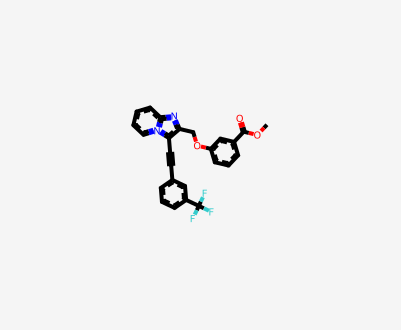 COC(=O)c1cccc(OCc2nc3ccccn3c2C#Cc2cccc(C(F)(F)F)c2)c1